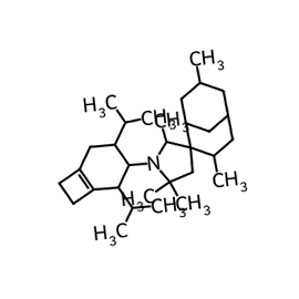 CC1CC2CC(C)C3(CC(C)(C)N(C4C(C(C)C)CC5=C(CC5)C4C(C)C)C3C)C(C1)C2